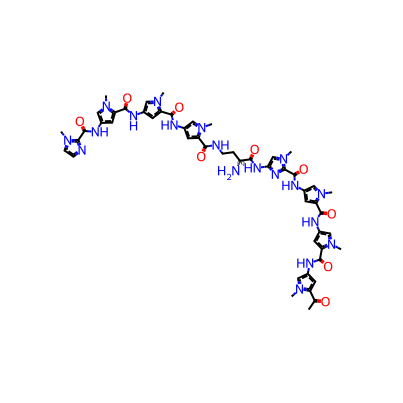 CC(=O)c1cc(NC(=O)c2cc(NC(=O)c3cc(NC(=O)c4nc(NC(=O)[C@H](N)CCNC(=O)c5cc(NC(=O)c6cc(NC(=O)c7cc(NC(=O)c8nccn8C)cn7C)cn6C)cn5C)cn4C)cn3C)cn2C)cn1C